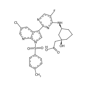 Cc1ccc(S(=O)(=O)n2cc(-c3ncc(F)c(N[C@H]4CCC[C@](O)(CC(=O)O)C4)n3)c3cc(Cl)cnc32)cc1